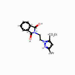 CCCc1cc(C(=O)OCC)n(CCN2C(=O)c3ccccc3C2=O)n1